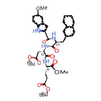 COC(=O)[C@H](CCC(=O)OC(C)(C)C)NC(=O)[C@H](CC(=O)OC(C)(C)C)NC(=O)[C@H](Cc1ccc2ccccc2c1)NC(=O)c1cc2cc(OC)ccc2[nH]1